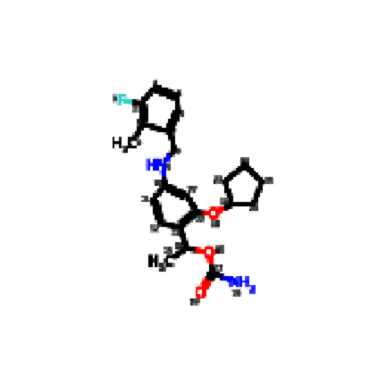 Cc1c(F)cccc1CNc1ccc(C(C)OC(N)=O)c(OC2CCCC2)c1